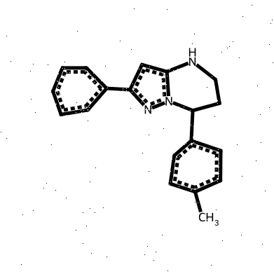 Cc1ccc(C2CCNc3cc(-c4ccccc4)nn32)cc1